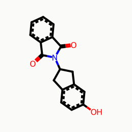 O=C1c2ccccc2C(=O)N1C1Cc2ccc(O)cc2C1